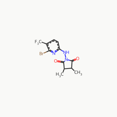 CC1C(=O)N(Nc2ccc(C(F)(F)F)c(Br)n2)C(=O)C1C